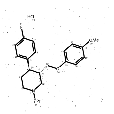 CCCN1CC[C@@H](c2ccc(F)cc2)[C@H](COc2ccc(OC)cc2)C1.Cl